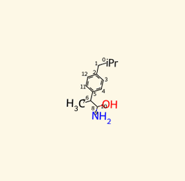 CC(C)Cc1ccc(C(C)C(N)O)cc1